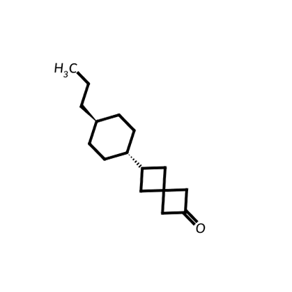 CCC[C@H]1CC[C@H](C2CC3(CC(=O)C3)C2)CC1